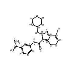 NC(=O)c1cc(NC(=O)c2c3cccc(F)c3nn2CC2CCCCO2)ccn1